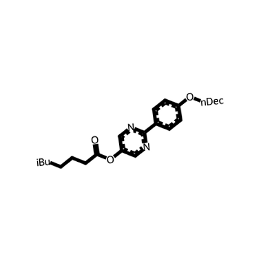 CCCCCCCCCCOc1ccc(-c2ncc(OC(=O)CCCC(C)CC)cn2)cc1